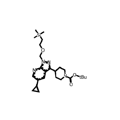 CC(C)(C)OC(=O)N1CCC(c2nn(COCC[Si](C)(C)C)c3ncc(C4CC4)cc23)CC1